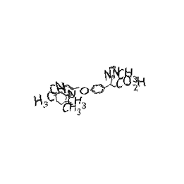 Cn1ccnc1C(CC(=O)O)c1ccc(OCc2cnc3c(n2)C(C)(C)CCC3(C)C)cc1